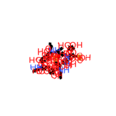 CCCC(=O)NC1C(O[C@@H]2CO[C@@H](O[C@@H]3C(CO)O[C@@H](OC4CO[C@@H](O[C@@H]5C(CO)O[C@@H](OCC(CCC)CCC)C(NC(=O)CCC)[C@H]5O)C[C@@H]4O)C(NC(=O)CCC)[C@H]3O)C[C@@H]2O)OC(COS(=O)(=O)O)[C@@H](O[C@H]2C[C@H](O)[C@H](O[C@@H]3OC(COS(=O)(=O)O)[C@@H](O[C@H]4C[C@H](O)[C@H](O)CO4)[C@H](O)C3NC(=O)CCC)CO2)[C@@H]1O